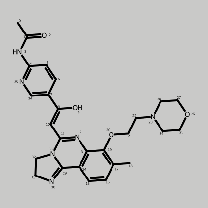 CC(=O)Nc1ccc(/C(O)=C/C2=Nc3c(ccc(C)c3OCCN3CCOCC3)C3=NCCN23)cn1